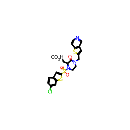 O=C(O)CC1C(=O)N(Cc2cc3cnccc3s2)CCN1S(=O)(=O)c1cc2ccc(Cl)cc2s1